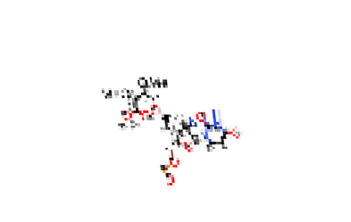 CO[C@H](COCC[C@@H]1[C@@H](COP=O)O[C@@H](n2ccc(=O)[nH]c2=O)[C@]1(C)N)[C@@H](OC)C(=O)OC(C)C